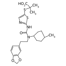 CC1CCC(N(CCc2ccc3c(c2)OCO3)C(=O)Nc2ncc(SC(C)(C)C(=O)O)s2)CC1